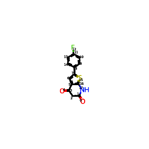 O=C1CC(=O)c2cc(-c3ccc(F)cc3)sc2N1